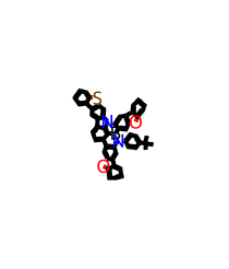 CC(C)(C)c1ccc(N2B3c4cc5oc6ccccc6c5cc4-n4c5cc6sc7ccccc7c6cc5c5ccc(c3c54)-c3cc4oc5ccccc5c4cc32)cc1